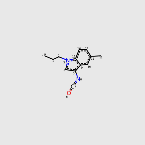 [CH2]CCn1cc(N=C=O)c2cc(C)ccc21